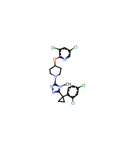 Cn1c(N2CCC(Oc3ncc(Cl)cc3Cl)CC2)nnc1C1(c2ccc(Cl)cc2Cl)CC1